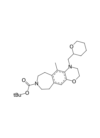 Cc1c2c(cc3c1N(CC1CCCCO1)CCO3)CCN(C(=O)OC(C)(C)C)CC2